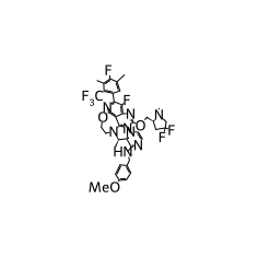 COc1ccc(CNc2nccnc2[C@@H](C)N2CCOc3nc(-c4cc(C)c(F)c(C)c4C(F)(F)F)c(F)c4nc(OC[C@@H]5CC(F)(F)CN5C)nc2c34)cc1